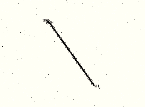 CC(C)(C)OC(=O)NCCOCCOCCOCCOCCOCCOCCOCCOCCOCCOCCOCCOCCOCCOCCOCCOCCOCCOCCOCCOCCOCCOCCOCCN